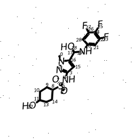 Cn1nc(NS(=O)(=O)C2CCC(O)CC2)cc1C(O)Nc1cc(F)c(F)c(F)c1